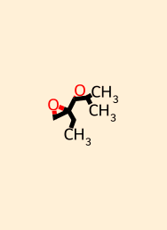 CCC1(C2OC2(C)C)CO1